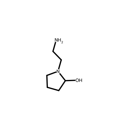 NCCN1CCCC1O